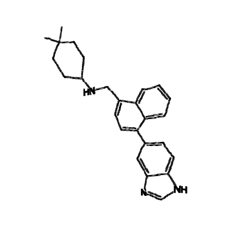 CC1(C)CCC(NCc2ccc(-c3ccc4[nH]cnc4c3)c3ccccc23)CC1